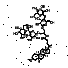 CO[C@@H]1CC[C@@]2(C)[C@H](CC[C@@H]3[C@@H]2CC[C@]2(C)[C@@H]([C@H](C)CCC(=O)NC(CO[C@@H]4OC(CO)C(OC5OC(CO)[C@@H](O)[C@H](O)C5O)[C@H](O)C4O)CO[C@@H]4OC(CO)[C@@H](O[C@H]5OC(CO)[C@@H](O)[C@H](O)C5O)[C@H](O)C4O)CC[C@@H]32)C1